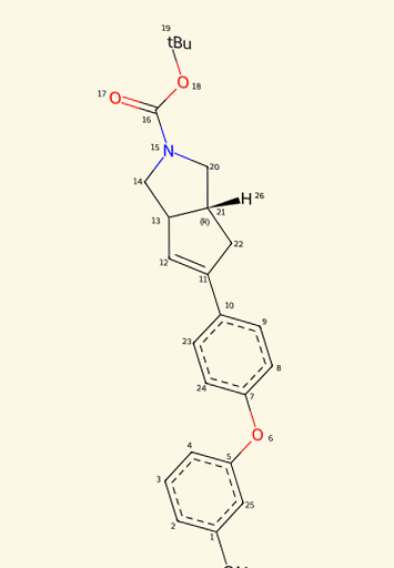 COc1cccc(Oc2ccc(C3=CC4CN(C(=O)OC(C)(C)C)C[C@@H]4C3)cc2)c1